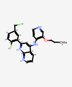 COCCOc1cnccc1Nc1cc(-c2cc(CF)ccc2F)nc2ncccc12